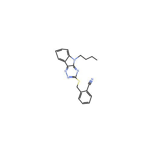 CCCCn1c2ccccc2c2nnc(SCc3ccccc3C#N)nc21